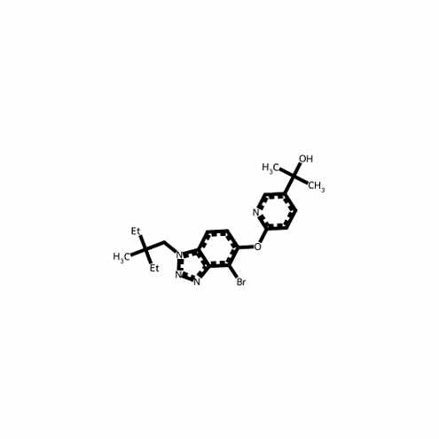 CCC(C)(CC)Cn1nnc2c(Br)c(Oc3ccc(C(C)(C)O)cn3)ccc21